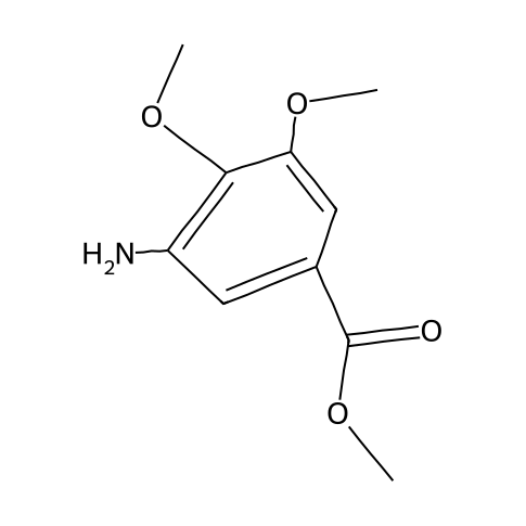 COC(=O)c1cc(N)c(OC)c(OC)c1